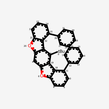 CC(C)(C)c1c2c(cc3oc4cccc(-c5ccccc5)c4c13)oc1cccc(-c3ccccc3)c12